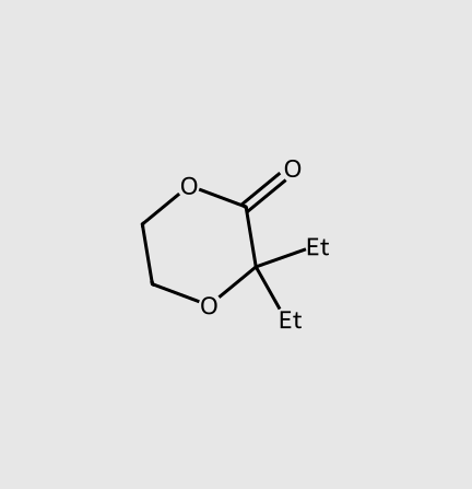 CCC1(CC)OCCOC1=O